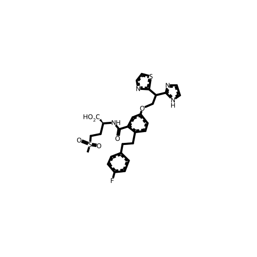 CS(=O)(=O)CC[C@H](NC(=O)c1cc(OCC(c2ncc[nH]2)c2nccs2)ccc1CCc1ccc(F)cc1)C(=O)O